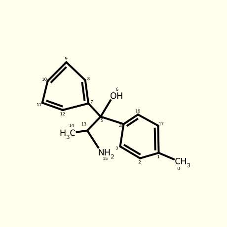 Cc1ccc(C(O)(c2ccccc2)C(C)N)cc1